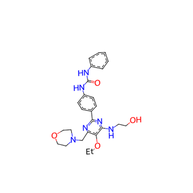 CCOc1c(CN2CCOCC2)nc(-c2ccc(NC(=O)Nc3ccccc3)cc2)nc1NCCO